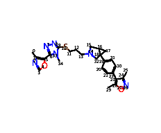 Cc1ncoc1-c1nnc(SCCCN2CC3CC3(c3ccc(-c4c(C)noc4C)cc3)C2)n1C